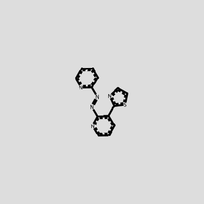 c1ccc(N=Nc2ncccc2-c2nccs2)nc1